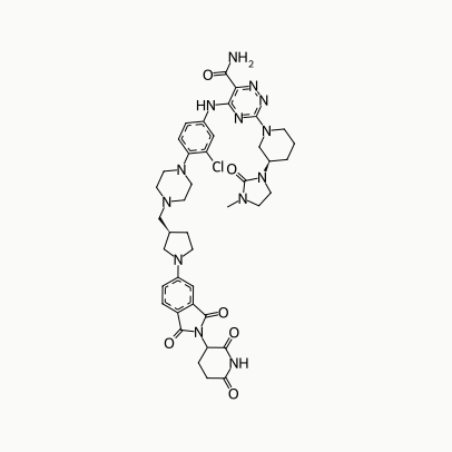 CN1CCN([C@@H]2CCCN(c3nnc(C(N)=O)c(Nc4ccc(N5CCN(C[C@H]6CCN(c7ccc8c(c7)C(=O)N(C7CCC(=O)NC7=O)C8=O)C6)CC5)c(Cl)c4)n3)C2)C1=O